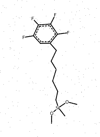 CO[Si](C)(CCCCCCc1cc(F)c(F)c(F)c1F)OC